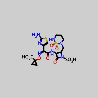 Nc1nc(/C(=N/OC2(C(=O)O)CC2)C(=O)NC2C(=O)N(S(=O)(=O)O)C2CN2CCCNS2(=O)=O)cs1